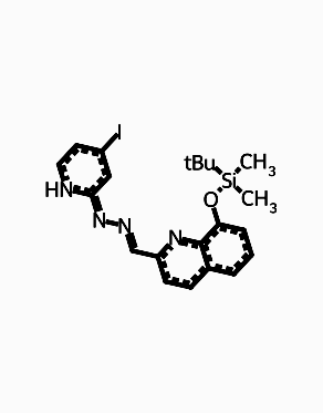 CC(C)(C)[Si](C)(C)Oc1cccc2ccc(C=N/N=c3\cc(I)cc[nH]3)nc12